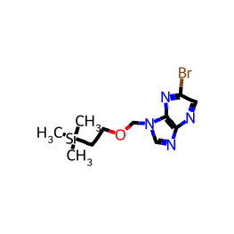 C[Si](C)(C)CCOCn1cnc2ncc(Br)nc21